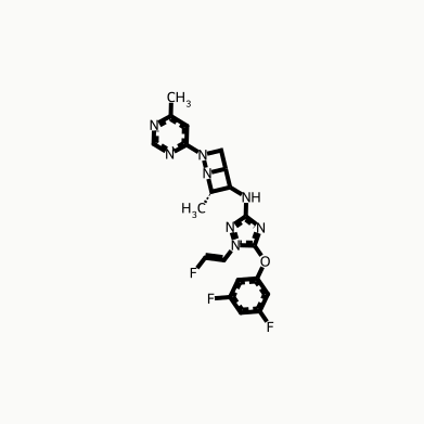 Cc1cc(N2CC3C(Nc4nc(Oc5cc(F)cc(F)c5)n(/C=C/F)n4)[C@H](C)N32)ncn1